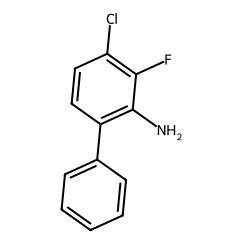 Nc1c(-c2ccccc2)ccc(Cl)c1F